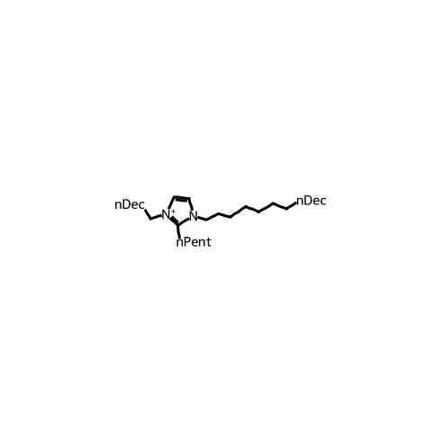 CCCCCCCCCCCCCCCCCn1cc[n+](CCCCCCCCCCC)c1CCCCC